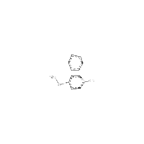 CCCCOc1ccc(C#N)cc1.c1ccccc1